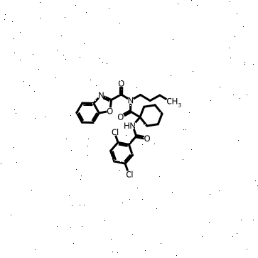 CCCCN(C(=O)c1nc2ccccc2o1)C(=O)C1(NC(=O)c2cc(Cl)ccc2Cl)CCCCC1